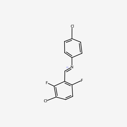 Fc1ccc(Cl)c(F)c1/C=N/c1ccc(Cl)cc1